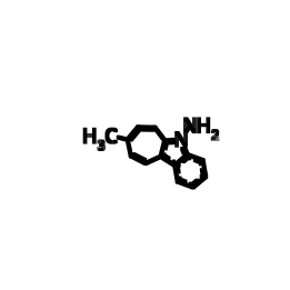 CC1=C=Cc2c(c3ccccc3n2N)C=C1